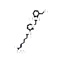 CNC(=O)/C=C/CCCC(=O)Nc1cccn(Cc2nc3c(CC(C)C)cccc3[nH]2)c1=O